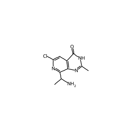 Cc1nc2c(C(C)N)nc(Cl)cc2c(=O)[nH]1